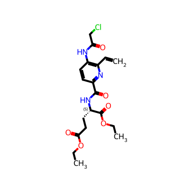 C=Cc1nc(C(=O)N[C@@H](CCC(=O)OCC)C(=O)OCC)ccc1NC(=O)CCl